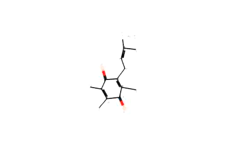 CCCCC/C(C)=C/CC1=C(C)C(=O)C(C)=C(C)C1=O